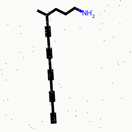 C#CC#CC#CC#CC#CC(C)CCCN